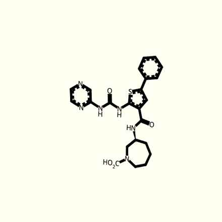 O=C(Nc1cnccn1)Nc1sc(-c2ccccc2)cc1C(=O)N[C@H]1CCCCN(C(=O)O)C1